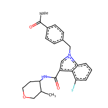 CNC(=O)c1ccc(Cn2cc(C(=O)NC3CCOCC3C)c3c(F)cccc32)cc1